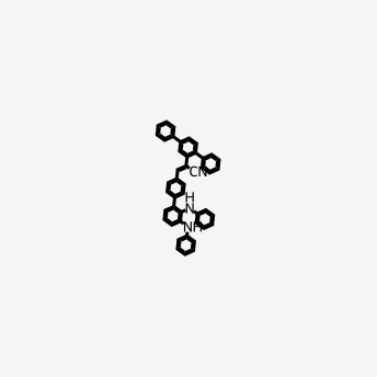 N#CC(=Cc1ccc(-c2cccc(Nc3ccccc3)c2Nc2ccccc2)cc1)c1cc(-c2ccccc2)ccc1-c1ccccc1